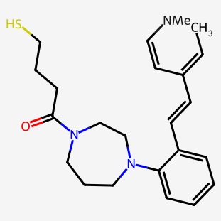 C/C=C(\C=C/NC)/C=C/c1ccccc1N1CCCN(C(=O)CCCS)CC1